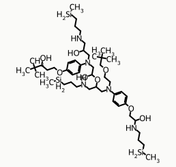 C[SiH2]CCCNCC(O)CN(CC(O)OC(CNCCC[SiH2]C)CN(CCOCC(C)(C)C)c1ccc(OCC(O)NCCC[SiH2]C)cc1)c1ccc(OCC[C@H](O)C(C)(C)C)cc1